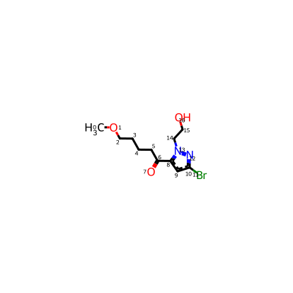 COCCCCC(=O)c1cc(Br)nn1CCO